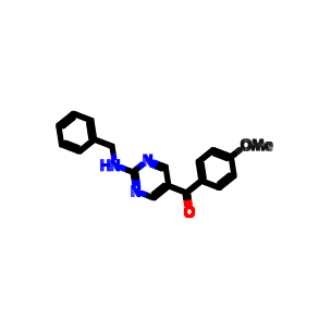 COc1ccc(C(=O)c2cnc(NCc3ccccc3)nc2)cc1